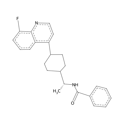 C[C@@H](NC(=O)c1ccccc1)C1CCC(c2ccnc3c(F)cccc23)CC1